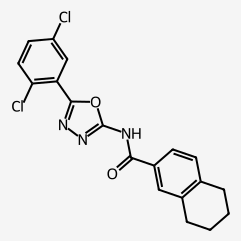 O=C(Nc1nnc(-c2cc(Cl)ccc2Cl)o1)c1ccc2c(c1)CCCC2